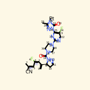 C=C(/C=C(F)\C=C(/C)C#N)[C@@H]1CC=NN1C(=O)N1CCN(c2ncc(F)c(-n3nc(C)n(CC)c3=O)n2)CC1